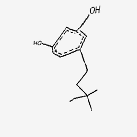 CC(C)(C)CCc1cc(O)cc(O)c1